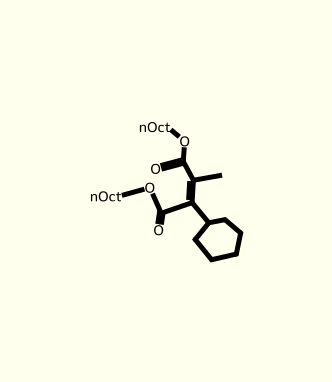 CCCCCCCCOC(=O)/C(C)=C(\C(=O)OCCCCCCCC)C1CCCCC1